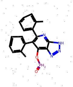 Cc1ccccc1-c1nc2[nH]nnc2c(O[PH2]=O)c1-c1ccccc1C